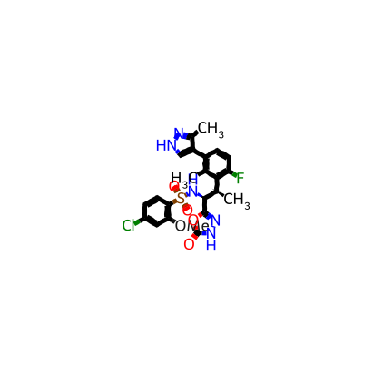 COc1cc(Cl)ccc1S(=O)(=O)N[C@H](c1n[nH]c(=O)o1)[C@H](C)c1c(F)ccc(-c2c[nH]nc2C)c1C